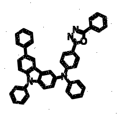 c1ccc(-c2ccc3c(c2)c2cc(N(c4ccccc4)c4ccc(-c5nnc(-c6ccccc6)o5)cc4)ccc2n3-c2ccccc2)cc1